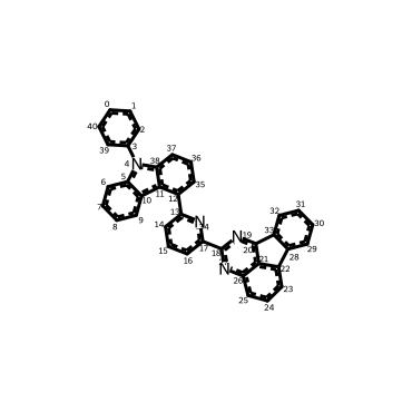 c1ccc(-n2c3ccccc3c3c(-c4cccc(-c5nc6c7c(cccc7n5)-c5ccccc5-6)n4)cccc32)cc1